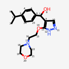 CC(C)c1ccc(C(O)c2cn[nH]c2OCCN2CCOCC2)cc1